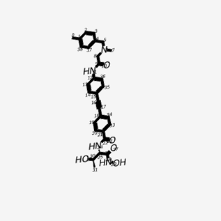 Cc1ccc(CN(C)CC(=O)Nc2ccc(C#Cc3ccc(C(=O)N[C@H](C(=O)NO)[C@@H](C)O)cc3)cc2)cc1